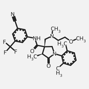 COCCN(C)C[C@@]1(C(=O)Nc2cc(C#N)cc(C(F)(F)F)c2)CN(c2c(C)cccc2C)C(=O)[C@H]1C